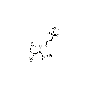 CCCN/C(NCCOS(C)(=O)=O)=C(\C#N)CN